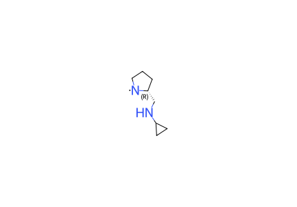 C1C[N][C@@H](CNC2CC2)C1